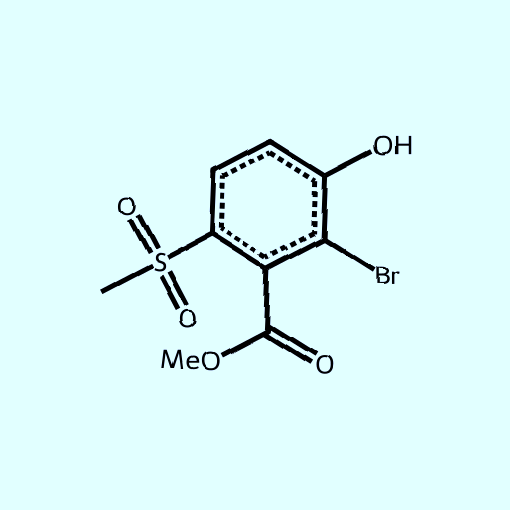 COC(=O)c1c(S(C)(=O)=O)ccc(O)c1Br